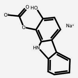 O=C([O-])Oc1c(O)ccc2c1[nH]c1ccccc12.[Na+]